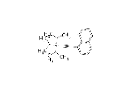 CC(C)[Si](C#Cc1cccc2ccc[c]c12)(C(C)C)C(C)C